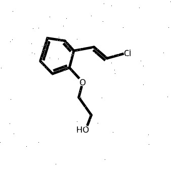 OCCOc1ccccc1C=CCl